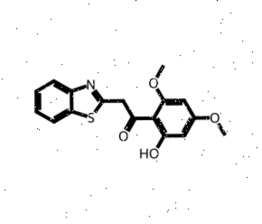 COc1cc(O)c(C(=O)Cc2nc3ccccc3s2)c(OC)c1